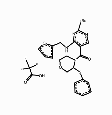 CC(C)(C)c1ncc(C(=O)N2CCOCC2Sc2ccccc2)c(NCc2ccco2)n1.O=C(O)C(F)(F)F